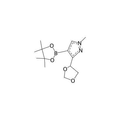 Cn1cc(B2OC(C)(C)C(C)(C)O2)c(C2COCO2)n1